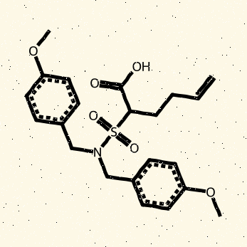 C=CCCC(C(=O)O)S(=O)(=O)N(Cc1ccc(OC)cc1)Cc1ccc(OC)cc1